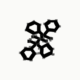 CC[PH](c1ccccc1)(c1ccccc1)[Pd]([Cl])([Cl])[PH](CC)(c1ccccc1)c1ccccc1